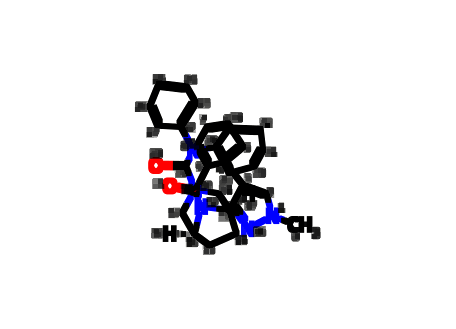 Cn1cc(-c2ccccc2C(=O)N2[C@@H]3CC[C@H]2CN(C(=O)N(c2ccccc2)c2ccccc2)C3)cn1